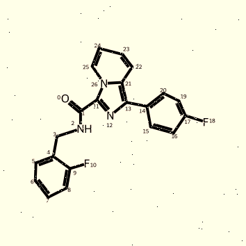 O=C(NCc1ccccc1F)c1nc(-c2ccc(F)cc2)c2ccccn12